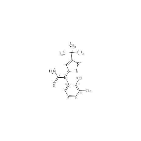 CC(C)(C)c1cc(N(C(N)=O)c2cccc(Cl)c2Cl)cs1